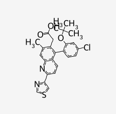 Cc1cc2nc(-c3cscn3)ccc2c(-c2ccc(Cl)cc2OC(C)(C)C)c1CC(=O)O